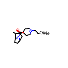 COCCN1CCC(C(=O)N2C3CCC2C(C)C(C)(C)C3)CC1